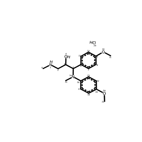 CNCC(O)C(c1ccc(OC)cc1)N(C)c1ccc(OC)cc1.Cl